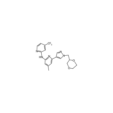 Cc1cc(Nc2cc(C(F)(F)F)ccn2)nc(-c2cnn(CC3COCCO3)c2)c1